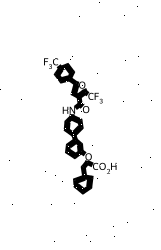 O=C(Nc1ccc(-c2cccc(OC(Cc3ccccc3)C(=O)O)c2)cc1)c1cc(-c2ccc(C(F)(F)F)cc2)oc1C(F)(F)F